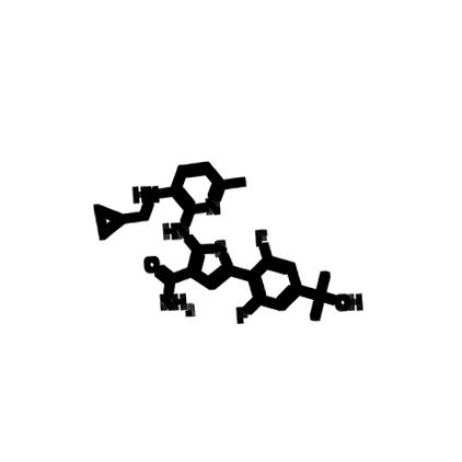 Cc1ccc(NCC2CC2)c(Nc2sc(-c3c(F)cc(C(C)(C)O)cc3F)cc2C(N)=O)n1